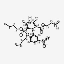 CCCCOP(=O)(OCCCC)C1=C(C)NC(C)=C(C(=O)OCCN(C)C)C1c1cccc([N+](=O)[O-])c1